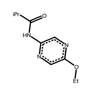 CCOc1cnc(NC(=O)C(C)C)cn1